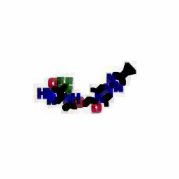 CC(COCCC(=O)N1[C@H](C)CN(c2ncc(C3CC3)cn2)C[C@@H]1C)Nc1cn[nH]c(=O)c1C(F)(F)F